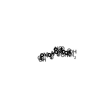 COc1cc(N=Nc2cccc(S(=O)(=O)O)c2)c(C)cc1N=Nc1cc(OC)c(N=Nc2c(S(=O)(=O)O)cc3cc(S(=O)(=O)O)c(N)cc3c2O)c2ccccc12